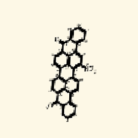 O=C1c2ccccc2-c2ccc3c4c([N+](=O)[O-])cc5c6c(ccc(c7ccc1c2c73)c64)C(=O)c1ccccc1-5